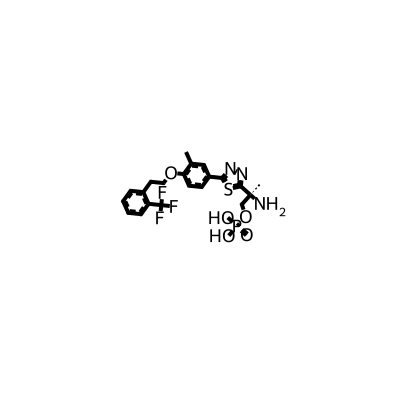 Cc1cc(-c2nnc([C@@](C)(N)COP(=O)(O)O)s2)ccc1OCCc1ccccc1C(F)(F)F